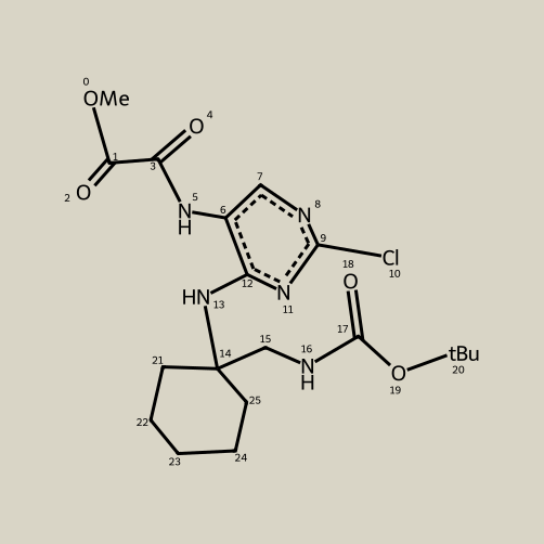 COC(=O)C(=O)Nc1cnc(Cl)nc1NC1(CNC(=O)OC(C)(C)C)CCCCC1